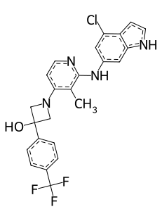 Cc1c(N2CC(O)(c3ccc(C(F)(F)F)cc3)C2)ccnc1Nc1cc(Cl)c2cc[nH]c2c1